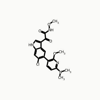 CONC(=O)C(=O)c1c[nH]c2cc(Cl)c(-c3ccc(N(C)C)nc3OC)cc12